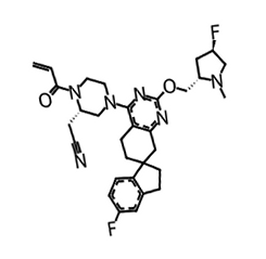 C=CC(=O)N1CCN(c2nc(OC[C@@H]3C[C@@H](F)CN3C)nc3c2CCC2(CCc4cc(F)ccc42)C3)C[C@@H]1CC#N